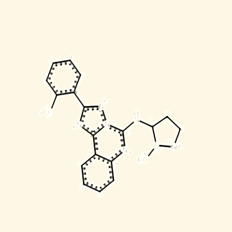 Cc1ccccc1-c1nc2c3ccccc3nc(NC3CCNB3O)n2n1